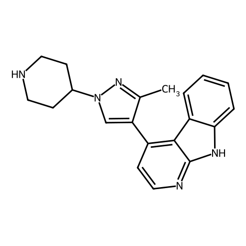 Cc1nn(C2CCNCC2)cc1-c1ccnc2[nH]c3ccccc3c12